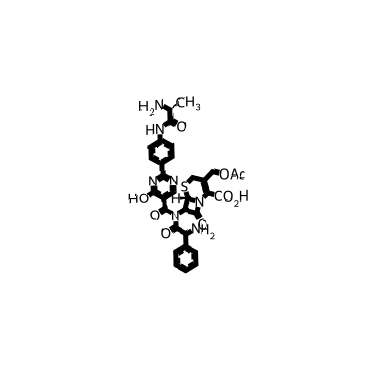 CC(=O)OCC1=C(C(=O)O)N2C(=O)C(N(C(=O)c3cnc(-c4ccc(NC(=O)[C@@H](C)N)cc4)nc3O)C(=O)C(N)c3ccccc3)[C@@H]2SC1